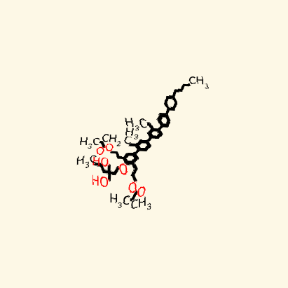 C=C(C)C(=O)OCCCc1cc(-c2ccc(-c3ccc(-c4ccc(C5CCC(CCCCC)CC5)cc4)c(CC)c3)cc2CC)cc(CCCOC(=O)C(C)C)c1OCCC(CO)(CO)CCCC